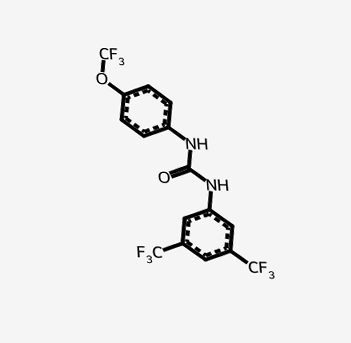 O=C(Nc1ccc(OC(F)(F)F)cc1)Nc1cc(C(F)(F)F)cc(C(F)(F)F)c1